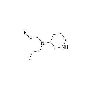 FCCN(CCF)C1CCCNC1